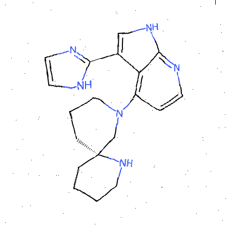 c1c[nH]c(-c2c[nH]c3nccc(N4CCC[C@]5(CCCCN5)C4)c23)n1